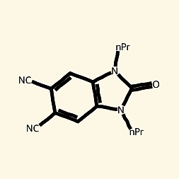 CCCn1c(=O)n(CCC)c2cc(C#N)c(C#N)cc21